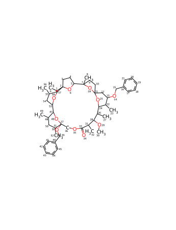 CCC12CCC(O1)C1(C)CCC3(CC(OCc4ccccc4)C(C)C(O3)C(C)C(OC)C(C)C(=O)OCC3(OCc4ccccc4)OC(C(C)CC3C)C3CC(C)C2O3)O1